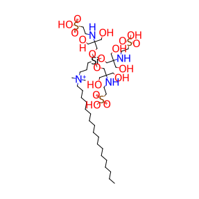 CCCCCCCCCCCCCCCCCC[N+](C)(C)CCC[Si](OCC(CO)(CO)NCCS(=O)(=O)O)(OCC(CO)(CO)NCCS(=O)(=O)O)OCC(CO)(CO)NCCS(=O)(=O)O